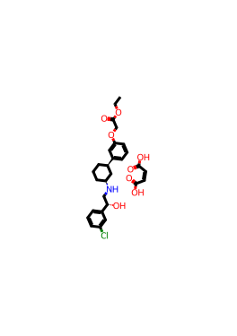 CCOC(=O)COc1cccc([C@@H]2CCC[C@@H](NC[C@H](O)c3cccc(Cl)c3)C2)c1.O=C(O)/C=C\C(=O)O